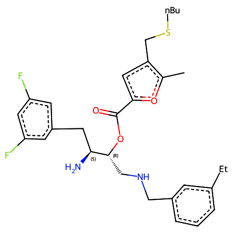 CCCCSCc1cc(C(=O)O[C@H](CNCc2cccc(CC)c2)[C@@H](N)Cc2cc(F)cc(F)c2)oc1C